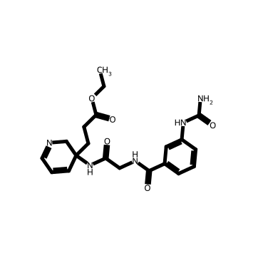 CCOC(=O)CCC1(NC(=O)CNC(=O)c2cccc(NC(N)=O)c2)C=CC=NC1